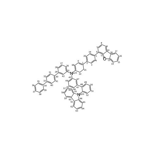 C1=C(c2ccc(-c3cccc4c3oc3ccccc34)cc2)CCC(N(c2cccc(-c3ccc(-c4ccccc4)cc3)c2)c2cccc(-c3ccccc3-n3c4ccccc4c4ccccc43)c2)=C1